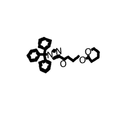 O=C(CCCOC1CCCCO1)c1cn(C(c2ccccc2)(c2ccccc2)c2ccccc2)cn1